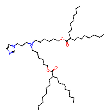 CCCCCCCCC(CCCCCCCC)C(=O)OCCCCCCN(CCCCCCOC(=O)C(CCCCCCCC)CCCCCCCC)CCCn1ccnc1